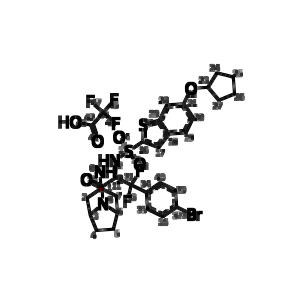 NC1CC2CCC(C1)N2C(=O)[C@@H](NS(=O)(=O)c1cc2ccc(OC3CCCC3)cc2s1)C(F)(F)c1ccc(Br)cc1.O=C(O)C(F)(F)F